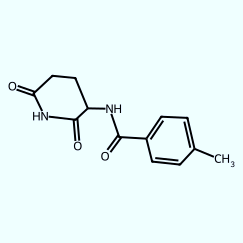 Cc1ccc(C(=O)NC2CCC(=O)NC2=O)cc1